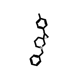 Cc1ccc(C2C[C@]23CCCN(Cc2ccccc2)C3)cc1